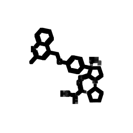 Cc1cc(COc2ccc([C@@]3(N)CCN([C@@H]4CCC[C@@H]4C(=O)NO)C3=O)cc2)c2ccccc2n1